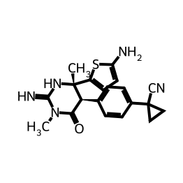 CN1C(=N)N[C@](C)(c2ccc(N)s2)[C@@H](c2ccc(C3(C#N)CC3)cc2)C1=O